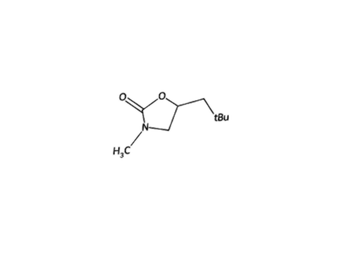 CN1CC(CC(C)(C)C)OC1=O